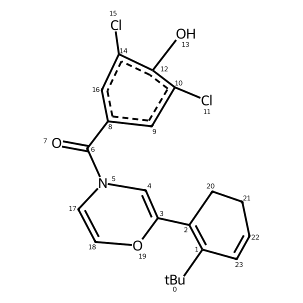 CC(C)(C)C1=C(C2=CN(C(=O)c3cc(Cl)c(O)c(Cl)c3)C=CO2)CCC=C1